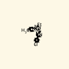 CCc1nc(Sc2ncc(-c3ccc(Cl)cc3)cn2)nc(N2CCN(C)CC2)n1